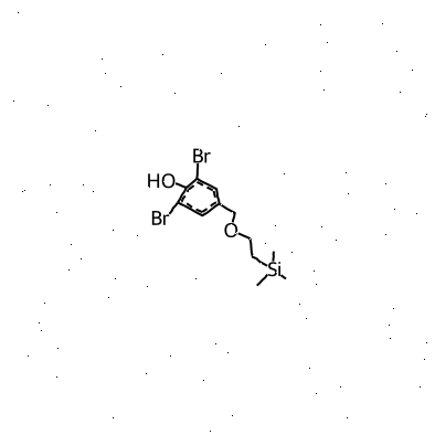 C[Si](C)(C)CCOCc1cc(Br)c(O)c(Br)c1